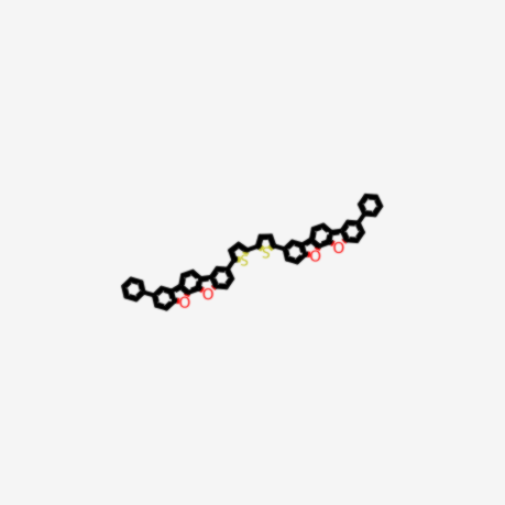 c1ccc(-c2ccc3oc4c(ccc5c6cc(-c7ccc(-c8ccc(-c9ccc%10oc%11c(ccc%12c%13cc(-c%14ccccc%14)ccc%13oc%12%11)c%10c9)s8)s7)ccc6oc54)c3c2)cc1